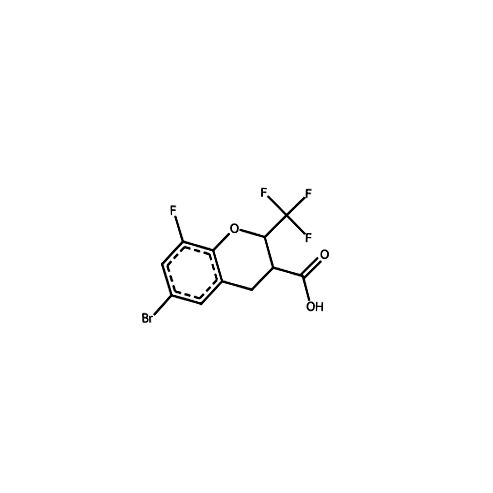 O=C(O)C1Cc2cc(Br)cc(F)c2OC1C(F)(F)F